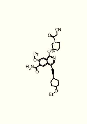 CCOC1CCC(C#Cc2cnc(O[C@@H]3CCCN(C(=O)CC#N)C3)c3cc(OC(C)C)c(C(N)=O)cc23)CC1